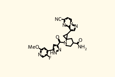 COc1cc(-c2cc(C(=O)N3CCC(C(N)=O)CC34CC4c3cnn4ccc(C#N)nc34)n[nH]2)c(F)cn1